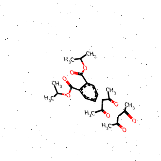 CC(=O)CC(C)=O.CC(=O)CC(C)=O.CC(C)OC(=O)c1ccccc1C(=O)OC(C)C